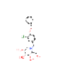 OC[C@H]1[C@@H](O)[C@H](O)[C@@H](O)CN1Cc1ccc(OCc2ccccc2)c(Cl)c1